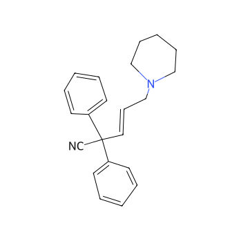 N#CC(/C=C/CN1CCCCC1)(c1ccccc1)c1ccccc1